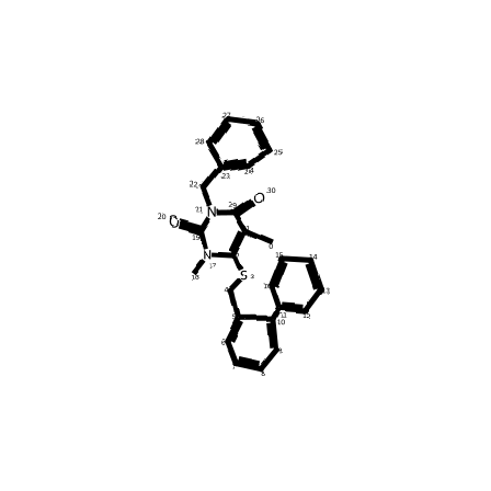 Cc1c(SCc2ccccc2-c2ccccc2)n(C)c(=O)n(Cc2ccccc2)c1=O